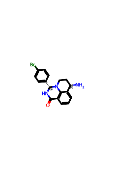 N[C@@H]1CCN2c3c(cccc31)C(=O)N[C@@H]2c1ccc(Br)cc1